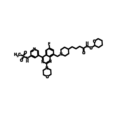 CS(=O)(=O)Nc1cncc(-c2nc(N3CCOCC3)nc3c(CN4CCC(CCCC(=O)NOC5CCCCO5)CC4)cc(F)cc23)c1